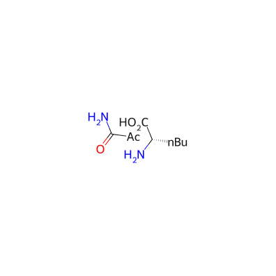 CC(=O)C(N)=O.CCCC[C@H](N)C(=O)O